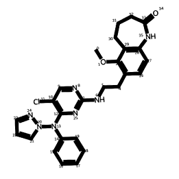 COc1c(CCNc2ncc(Cl)c(N(c3ccccc3)n3cccn3)n2)ccc2c1CCCC(=O)N2